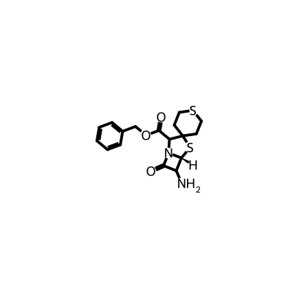 NC1C(=O)N2C(C(=O)OCc3ccccc3)C3(CCSCC3)S[C@H]12